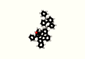 c1ccc(N(c2ccccc2)c2cc3ccccc3c3c2C2(c4ccccc4-c4cc(N(c5ccccc5)c5cccc6c5c5ccccc5n6-c5ccccc5)ccc42)c2ccccc2-3)cc1